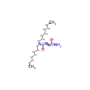 CCCCCCCCN(CCCCCCCC)C(=O)N=NC(N)=O